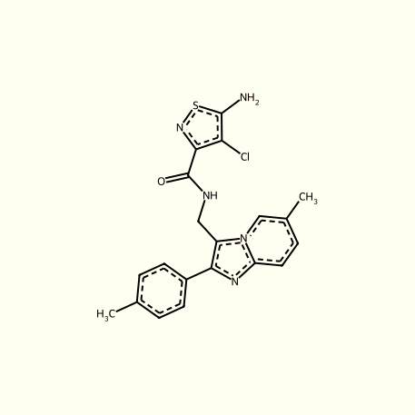 Cc1ccc(-c2nc3ccc(C)cn3c2CNC(=O)c2nsc(N)c2Cl)cc1